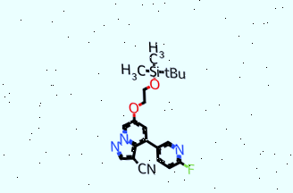 CC(C)(C)[Si](C)(C)OCCOc1cc(-c2ccc(F)nc2)c2c(C#N)cnn2c1